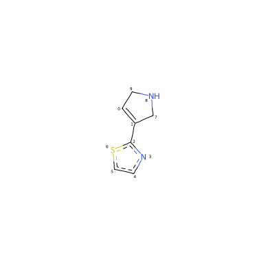 C1=C(c2nccs2)CNC1